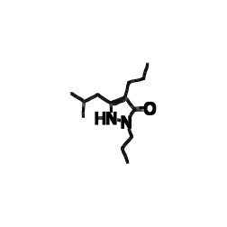 CCCc1c(CC(C)C)[nH]n(CCC)c1=O